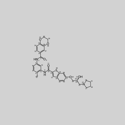 O=C(Nc1ccc(F)c(NC(=O)c2cc3ccc(OC[C@@H](O)CN4CCCC4)cc3s2)c1)c1ccc2c(c1)OCCO2